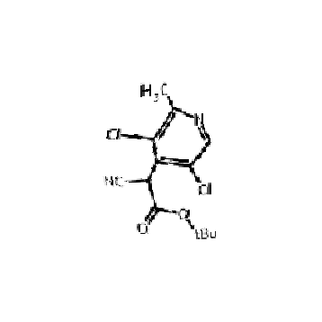 Cc1ncc(Cl)c(C(C#N)C(=O)OC(C)(C)C)c1Cl